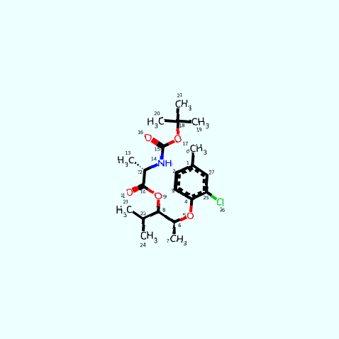 Cc1ccc(O[C@@H](C)C(OC(=O)[C@H](C)NC(=O)OC(C)(C)C)C(C)C)c(Cl)c1